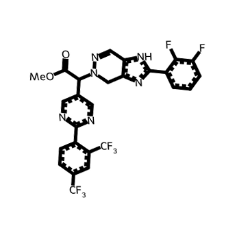 COC(=O)C(c1cnc(-c2ccc(C(F)(F)F)cc2C(F)(F)F)nc1)N1Cc2nc(-c3cccc(F)c3F)[nH]c2C=N1